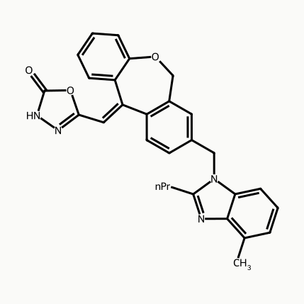 CCCc1nc2c(C)cccc2n1Cc1ccc2c(c1)COc1ccccc1C2=Cc1n[nH]c(=O)o1